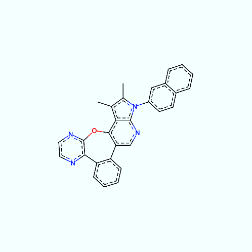 Cc1c(C)n(-c2ccc3ccccc3c2)c2ncc3c(c12)Oc1nccnc1-c1ccccc1-3